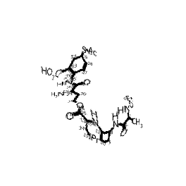 CCONC(C)C(=O)NC1CCC1N[C@@H](CC(C)C)C(=O)OCC[C@H](N)C(=O)NC1C=CC(SC(C)=O)CC1C(=O)O